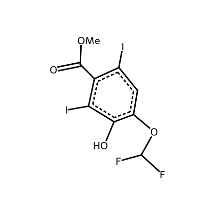 COC(=O)c1c(I)cc(OC(F)F)c(O)c1I